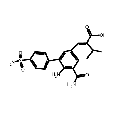 CC(C)/C(=C\c1cc(C(N)=O)c(N)c(-c2ccc(S(N)(=O)=O)cc2)c1)C(=O)O